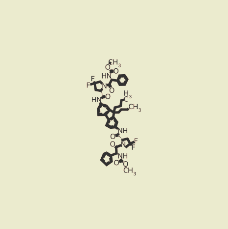 CCCCC1(CCCC)c2cc(NC(=O)[C@@H]3CC(F)(F)CN3C(=O)[C@H](NC(=O)OC)c3ccccc3)ccc2-c2ccc(NC(=O)[C@@H]3CC(F)(F)CN3C(=O)[C@H](NC(=O)OC)c3ccccc3)cc21